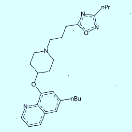 CCCCc1cc(OC2CCN(CCCc3nc(CCC)no3)CC2)c2ncccc2c1